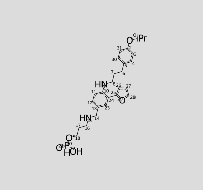 CC(C)Oc1ccc(CCCNc2ccc(CNCCCO[PH](=O)O)cc2-c2ccco2)cc1